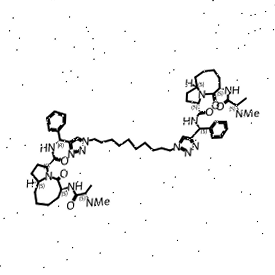 CN[C@@H](C)C(=O)N[C@H]1CCCC[C@H]2CC[C@@H](C(=O)N[C@H](c3ccccc3)c3cn(CCCCCCCCCCn4cc([C@@H](NC(=O)[C@@H]5CC[C@@H]6CCCC[C@H](NC(=O)[C@H](C)NC)C(=O)N65)c5ccccc5)nn4)nn3)N2C1=O